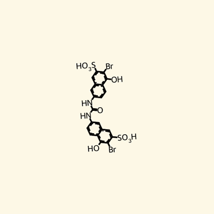 O=C(Nc1ccc2c(O)c(Br)c(S(=O)(=O)O)cc2c1)Nc1ccc2c(O)c(Br)c(S(=O)(=O)O)cc2c1